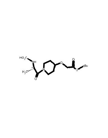 C[C@H](NC(=O)O)C(=O)N1CCC(OCC(=O)OC(C)(C)C)CC1